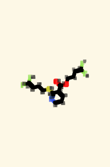 O=C(OCCC=C(F)F)c1cccnc1SCCC=C(F)F